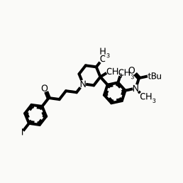 Cc1c(N(C)C(=O)C(C)(C)C)cccc1C1(C)CN(CCCC(=O)c2ccc(I)cc2)CCC1C